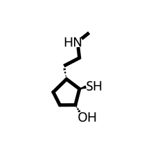 CNCC[C@H]1CC[C@@H](O)[C@@H]1S